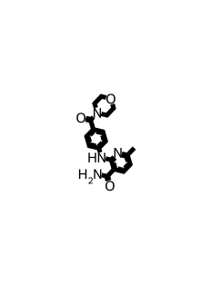 Cc1ccc(C(N)=O)c(Nc2ccc(C(=O)N3CCOCC3)cc2)n1